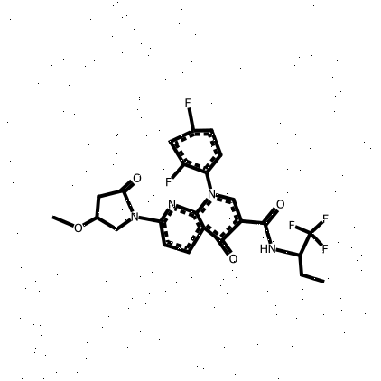 CCC(NC(=O)c1cn(-c2ccc(F)cc2F)c2nc(N3CC(OC)CC3=O)ccc2c1=O)C(F)(F)F